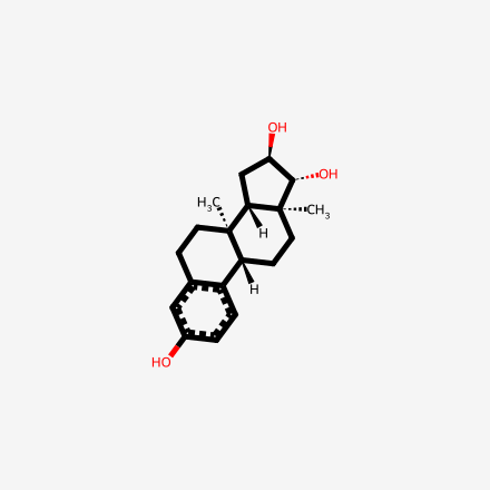 C[C@@]12CCc3cc(O)ccc3[C@H]1CC[C@@]1(C)[C@H]2C[C@@H](O)[C@@H]1O